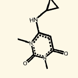 Cn1c(NC2CC2)cc(=O)n(C)c1=O